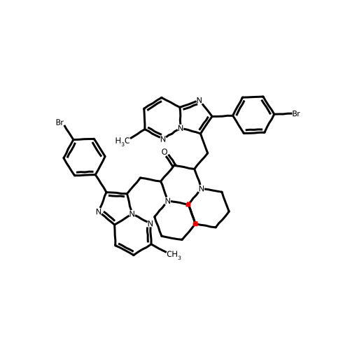 Cc1ccc2nc(-c3ccc(Br)cc3)c(CC(C(=O)C(Cc3c(-c4ccc(Br)cc4)nc4ccc(C)nn34)N3CCCCC3)N3CCCCC3)n2n1